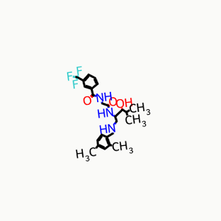 Cc1ccc(CNCC(NC(=O)CNC(=O)c2cccc(C(F)(F)F)c2)C(O)C(C)C)c(C)c1